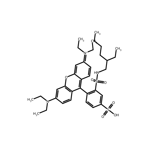 CCCCC(CC)CNS(=O)(=O)c1cc(S(=O)(=O)O)ccc1-c1c2ccc(=[N+](CC)CC)cc-2oc2cc(N(CC)CC)ccc12